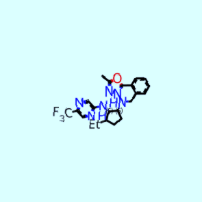 CCC1CC[C@H](NCc2ccccc2-c2nnc(C)o2)[C@H]1Nc1cnc(C(F)(F)F)cn1